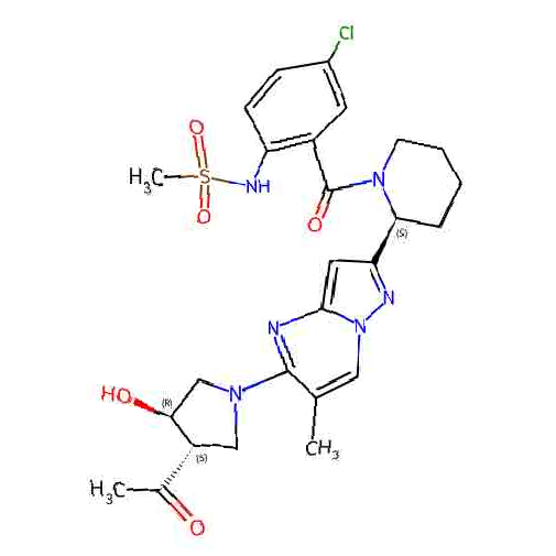 CC(=O)[C@H]1CN(c2nc3cc([C@@H]4CCCCN4C(=O)c4cc(Cl)ccc4NS(C)(=O)=O)nn3cc2C)C[C@@H]1O